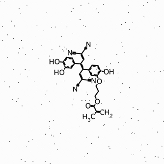 C=C(C)C(=O)OCCCOc1cc(/C(C=C(C#N)C#N)=C(\C=C(C#N)C#N)c2ccc(O)c(O)c2)ccc1O